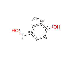 C.OCc1ccc(O)cc1